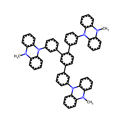 CN1c2ccccc2N(c2cccc(-c3ccc(-c4cccc(N5c6ccccc6N(C)c6ccccc65)c4)c(-c4cccc(N5c6ccccc6N(C)c6ccccc65)c4)c3)c2)c2ccccc21